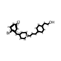 OCCC1CCC(CCCN2CCC(Cc3cc(Cl)ccc3Br)CC2)CC1